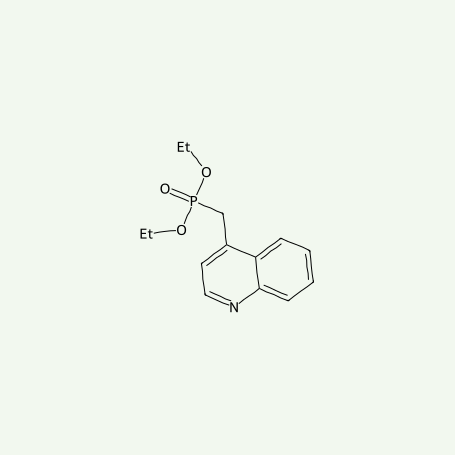 CCOP(=O)(Cc1ccnc2ccccc12)OCC